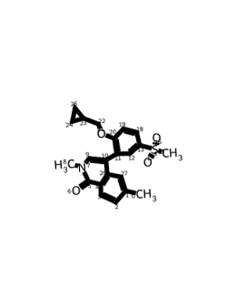 Cc1ccc2c(=O)n(C)cc(-c3cc(S(C)(=O)=O)ccc3OCC3CC3)c2c1